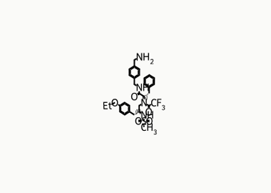 CCOc1ccc(C[C@H](CN(C(=O)C(F)(F)F)[C@@H](Cc2ccccc2)C(=O)NCc2ccc(CN)cc2)NS(C)(=O)=O)cc1